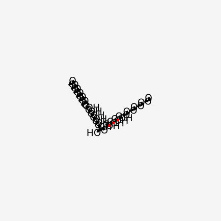 CC(=O)CCCO.CC(=O)O.CC(=O)O.CC(=O)O.CC(=O)O.CC(=O)O.CC(=O)O.CC(=O)O.CC(=O)O.CC(=O)O.CC(=O)O.CCOC(C)=O.CCOC(C)=O.CCOC(C)=O.CCOC(C)=O.CCOC(C)=O.CCOC(C)=O.CCOC(C)=O.CCOC(C)=O.CCOC(C)=O.CCOC(C)=O